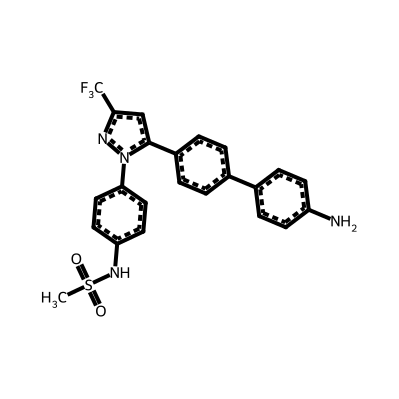 CS(=O)(=O)Nc1ccc(-n2nc(C(F)(F)F)cc2-c2ccc(-c3ccc(N)cc3)cc2)cc1